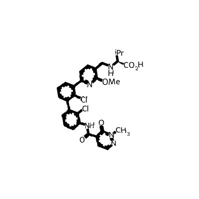 COc1nc(-c2cccc(-c3cccc(NC(=O)c4ccnn(C)c4=O)c3Cl)c2Cl)ccc1CN[C@H](C(=O)O)C(C)C